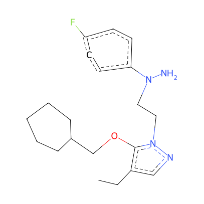 CCc1cnn(CCN(N)c2ccc(F)cc2)c1OCC1CCCCC1